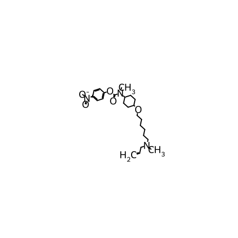 C=CCN(C)CCCCCCOC1CCC(N(C)C(=O)Oc2ccc([N+](=O)[O-])cc2)CC1